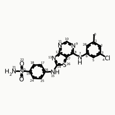 Cc1cc(Cl)cc(Nc2ncnc3nc(Nc4ccc(S(N)(=O)=O)cc4)sc23)c1